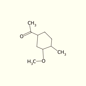 COC1CC(C(C)=O)CCC1C